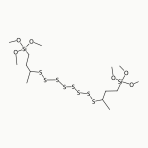 CO[Si](CCC(C)SSSSSSSSC(C)CC[Si](OC)(OC)OC)(OC)OC